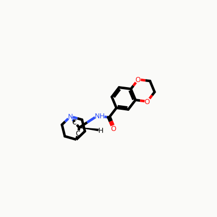 O=C(N[C@@H]1CC2CCN(CC2)C1)c1ccc2c(c1)OCCO2